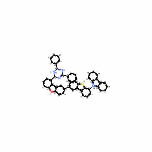 c1ccc(C2=NC(c3cccc4oc5ccc(-c6ccc7sc8c(-n9c%10ccccc%10c%10ccccc%109)cccc8c7c6)cc5c34)NC(c3ccccc3)N2)cc1